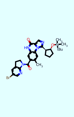 Cc1cc2c(cc1C(=O)N1CCc3cc(Br)cnc31)[nH]c(=O)c1cnc([C@@H]3CCC[C@@H]3O[Si](C)(C)C(C)(C)C)n12